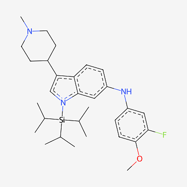 COc1ccc(Nc2ccc3c(C4CCN(C)CC4)cn([Si](C(C)C)(C(C)C)C(C)C)c3c2)cc1F